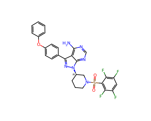 Nc1ncnc2c1c(-c1ccc(Oc3ccccc3)cc1)nn2[C@@H]1CCCN(S(=O)(=O)c2c(F)c(F)cc(F)c2F)C1